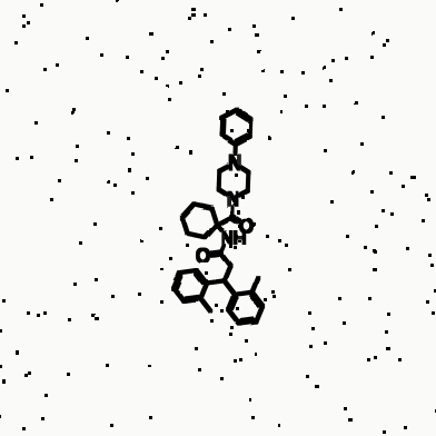 Cc1ccccc1C(CC(=O)NC1(C(=O)N2CCN(c3ccccc3)CC2)CCCCC1)c1ccccc1C